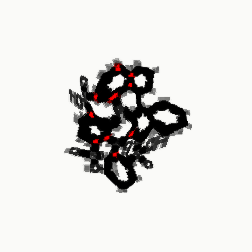 O=S(=O)(O)c1ccccc1P(c1ccccc1S(=O)(=O)O)c1cc2ccccc2c(-c2cccc3ccccc23)c1P(c1ccccc1S(=O)(=O)O)c1ccccc1S(=O)(=O)O